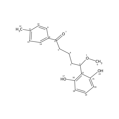 COC(CCCC(=O)c1ccc(C)cc1)c1c(O)cccc1O